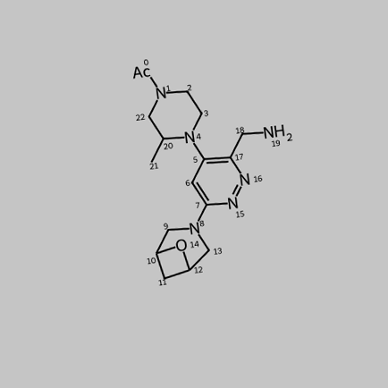 CC(=O)N1CCN(c2cc(N3CC4CC(C3)O4)nnc2CN)C(C)C1